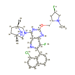 CN1C[C@H](F)C[C@H]1COc1nc(N2C[C@H]3CC[C@@H](C2)N3)c2cnc(-c3cccc4cccc(Cl)c34)c(F)c2n1